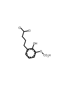 O=C(O)Oc1cccc(CCCC(Cl)Cl)c1O